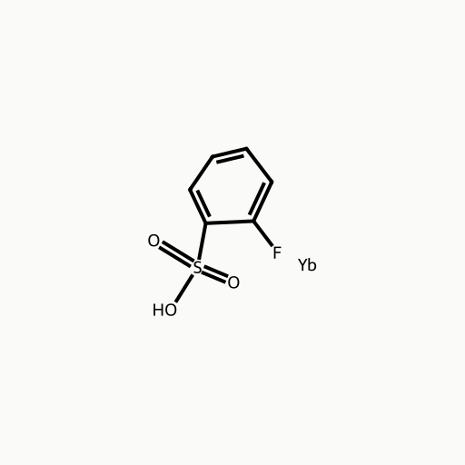 O=S(=O)(O)c1ccccc1F.[Yb]